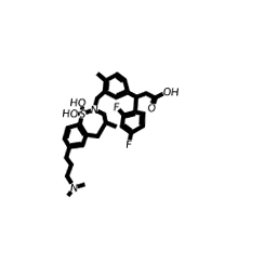 Cc1ccc(C(CC(=O)O)c2ccc(F)cc2F)cc1CN1CC(C)Cc2cc(CCCN(C)C)ccc2S1(O)O